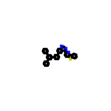 c1ccc(-c2cc(-c3ccccc3)cc(-c3cccc(-c4ccc5ncnc(-c6ccc7sc8ccccc8c7n6)c5c4)c3)c2)cc1